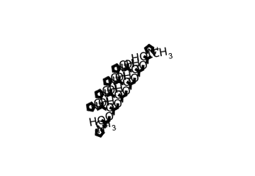 C[N+]1(CC(O)COCC(COCC(COCC(COCC(COCC(O)C[N+]2(C)CCCC2)OCC(O)C[N+]2(C)CCCC2)OCC(O)C[N+]2(C)CCCC2)OCC(O)C[N+]2(C)CCCC2)OCC(O)C[N+]2(C)CCCC2)CCCC1